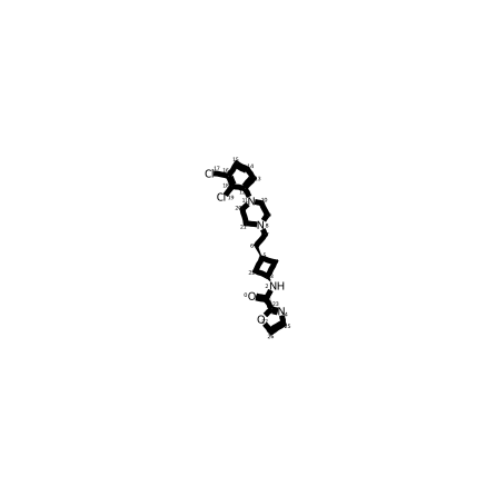 O=C(N[C@H]1C[C@H](CCN2CCN(c3cccc(Cl)c3Cl)CC2)C1)c1ncco1